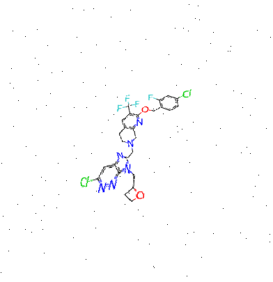 Fc1cc(Cl)ccc1COc1nc2c(cc1C(F)(F)F)CCN(Cc1nc3cc(Cl)nnc3n1C[C@@H]1CCO1)C2